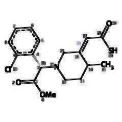 COC(=O)[C@H](c1ccccc1Cl)N1CCC(C)/C(=C\C(=O)S)C1